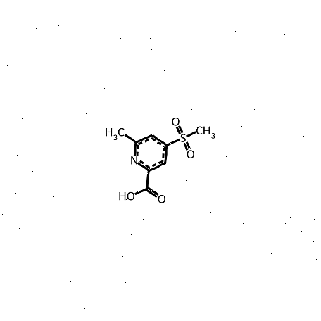 Cc1cc(S(C)(=O)=O)cc(C(=O)O)n1